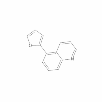 c1coc(-c2cccc3ncccc23)c1